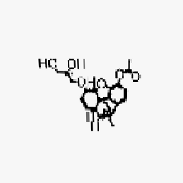 CC(=O)Oc1ccc2c3c1O[C@H]1[C@@H](OC[C@@H](O)CO)C=C[C@H]4[C@@H](C2)N(C)CC[C@@]341